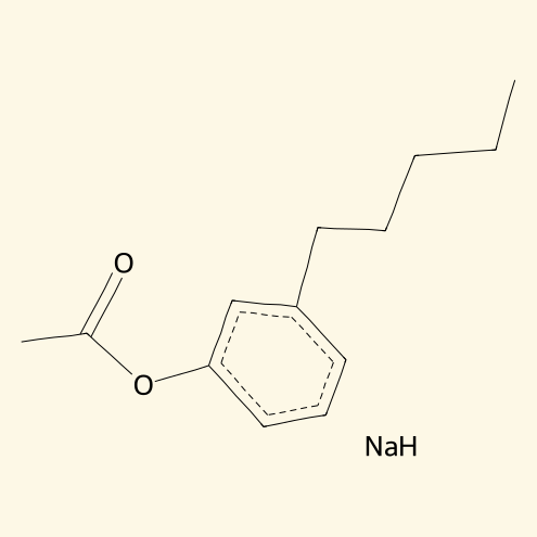 CCCCCc1cccc(OC(C)=O)c1.[NaH]